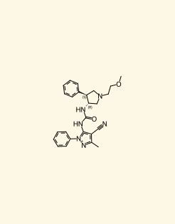 COCCN1C[C@H](NC(=O)Nc2c(C#N)c(C)nn2-c2ccccc2)[C@@H](c2ccccc2)C1